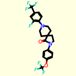 O=C1N(c2ccc(OC(F)(F)F)cc2)CCC12CCN(c1ccc(C(F)(F)F)cc1F)CC2